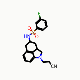 N#CCCN1CC2CC(NS(=O)(=O)c3cccc(F)c3)Cc3cccc1c32